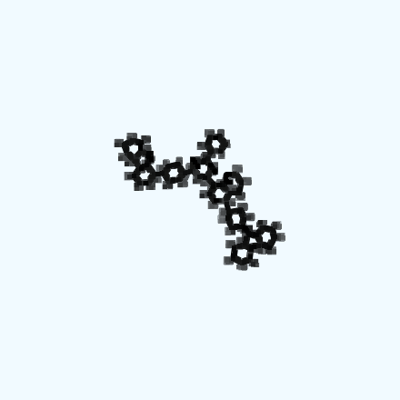 c1ccc(-c2nc(-c3ccc(-c4cccc5c4sc4ccccc45)cc3)cc(-c3ccc(-c4ccc(-n5c6ccccc6c6ccccc65)cc4)c4ccccc34)n2)cc1